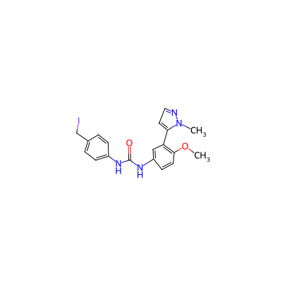 COc1ccc(NC(=O)Nc2ccc(CI)cc2)cc1-c1ccnn1C